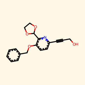 OCC#Cc1ccc(OCc2ccccc2)c(C2OCCO2)n1